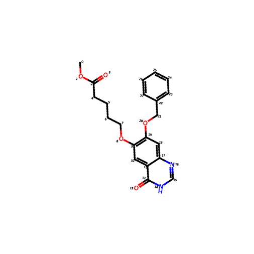 COC(=O)CCCCOc1cc2c(=O)[nH]cnc2cc1OCc1ccccc1